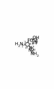 NCc1cc(F)cc(-n2ccc(N)n2)c1.O=C(O)C(F)(F)F